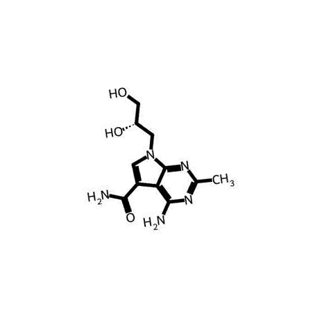 Cc1nc(N)c2c(C(N)=O)cn(C[C@H](O)CO)c2n1